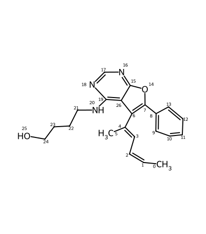 C/C=C\C=C(/C)c1c(-c2ccccc2)oc2ncnc(NCCCCO)c12